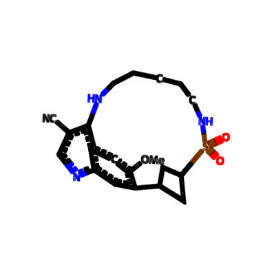 COc1cc2c3c(C#N)cnc2cc1C1CC(C1)S(=O)(=O)NCCCCCN3